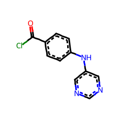 O=C(Cl)c1ccc(Nc2cncnc2)cc1